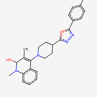 Cc1ccc(-c2nnc(C3CCN(C4=C(C#N)C(O)N(C)c5ccccc54)CC3)o2)cc1